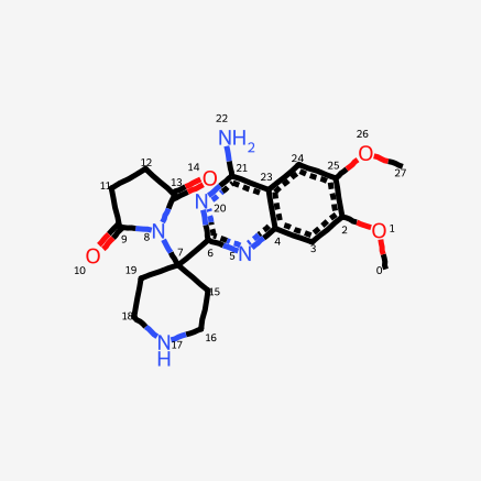 COc1cc2nc(C3(N4C(=O)CCC4=O)CCNCC3)nc(N)c2cc1OC